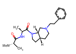 CN[C@@H](C)C(=O)N[C@@H](C)C(=O)N1CC[C@H]2CCN(CCc3ccccc3)C[C@H]21